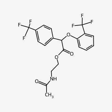 CC(=O)NCCOC(=O)C(Oc1ccccc1C(F)(F)F)c1ccc(C(F)(F)F)cc1